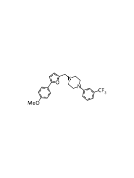 COc1ccc(-c2ccc(CN3CCN(c4cccc(C(F)(F)F)c4)CC3)o2)cc1